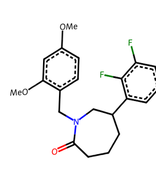 COc1ccc(CN2CC(c3cccc(F)c3F)CCCC2=O)c(OC)c1